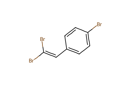 BrC(Br)=Cc1ccc(Br)cc1